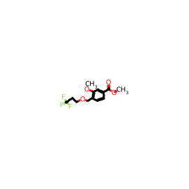 COC(=O)c1ccc(COCCC(F)(F)F)c(OC)c1